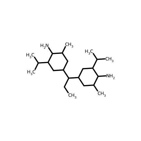 CCC(C1CC(C)C(N)C(C(C)C)C1)C1CC(C)C(N)C(C(C)C)C1